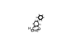 CN1CC[C@H](c2ccccc2)C[C@@H]1OC=O